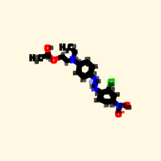 CCN(CCOC(C)=O)c1ccc(/N=N/c2ccc([N+](=O)[O-])cc2Cl)cc1